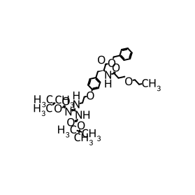 CCCOCCC(=O)N[C@@H](Cc1ccc(OCCN/C(=N\C(=O)OC(C)(C)C)NC(=O)OC(C)(C)C)cc1)C(=O)OCc1ccccc1